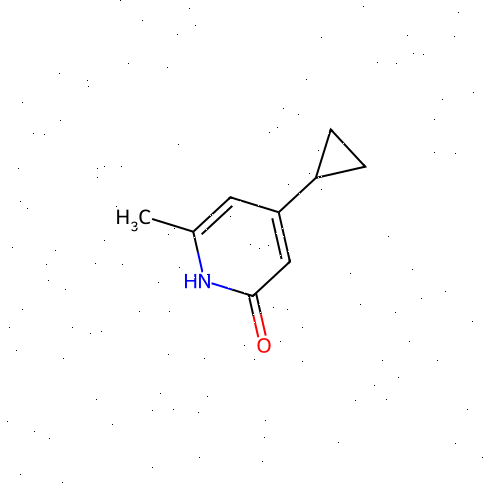 Cc1cc(C2CC2)cc(=O)[nH]1